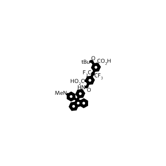 CNc1ccc(C2(c3ccc(NC(=O)c4ccc(C(c5ccc(C(=O)O)c(C(=O)C(C)(C)C)c5)(C(F)(F)F)C(F)(F)F)cc4C(=O)O)cc3)c3ccccc3-c3ccccc32)cc1